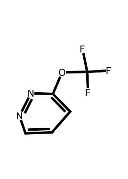 FC(F)(F)Oc1cccnn1